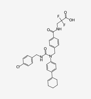 O=C(NCC(F)(F)C(=O)O)c1ccc(CN(C(=O)NCc2ccc(Cl)cc2)c2ccc(C3=CCCCC3)cc2)cc1